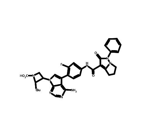 CC(C)(C)C1C(n2cc(-c3ccc(NC(=O)c4c5n(n(-c6ccccc6)c4=O)CCC5)cc3F)c3c(N)ncnc32)CN1C(=O)O